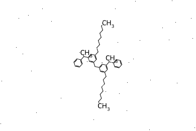 CCCCCCCCCc1cc(Cc2[c]c(C(C)c3ccccc3)cc(CCCCCCCCC)c2)[c]c(C(C)c2ccccc2)c1